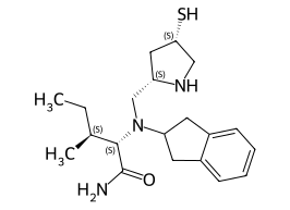 CC[C@H](C)[C@@H](C(N)=O)N(C[C@@H]1C[C@H](S)CN1)C1Cc2ccccc2C1